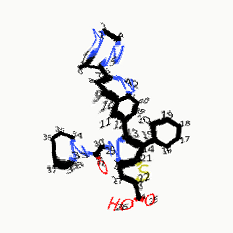 Cc1nccnc1-c1ccc2cc(-c3c(C4CCCCC4)c4sc(C(=O)O)cc4n3CC(=O)N3CCCCC3)ccc2n1